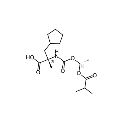 CC(C)C(=O)O[C@@H](C)OC(=O)N[C@@](C)(CC1CCCC1)C(=O)O